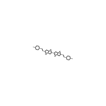 Cc1ccc(/C=C/c2cc3sc(-c4cc5sc(/C=C/c6ccc(C)cc6)cc5s4)cc3s2)cc1